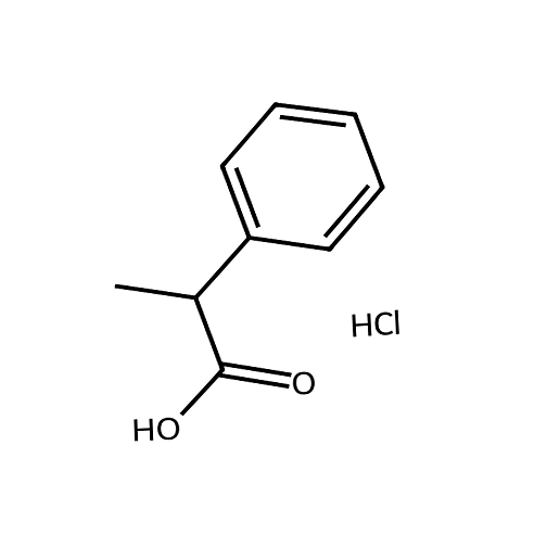 CC(C(=O)O)c1ccccc1.Cl